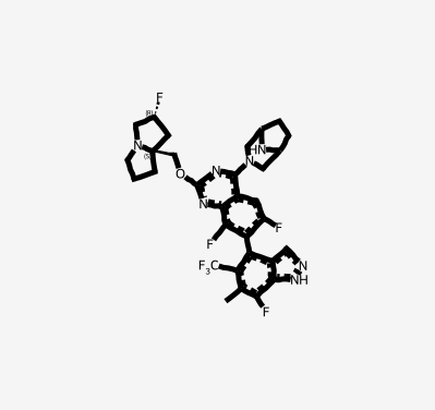 Cc1c(C(F)(F)F)c(-c2c(F)cc3c(N4CC5CCC(C4)N5)nc(OC[C@@]45CCCN4C[C@H](F)C5)nc3c2F)c2cn[nH]c2c1F